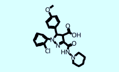 COc1ccc(C2C(C(=O)O)C(C(=O)NN3CCCCC3)=NN2c2ccccc2Cl)cc1